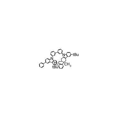 CC1Cc2c(c3cc(C(C)(C)C)ccc3n2-c2cccc(-c3cccc(-n4c5ccc(-c6ccccc6)cc5c5cc(C(C)(C)C)ccc54)c3)c2)CC1(C)c1ccccc1